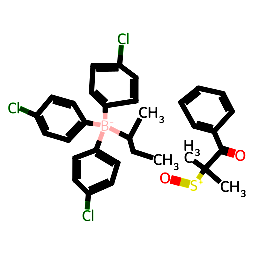 CC(C)([S+]=O)C(=O)c1ccccc1.CCC(C)[B-](c1ccc(Cl)cc1)(c1ccc(Cl)cc1)c1ccc(Cl)cc1